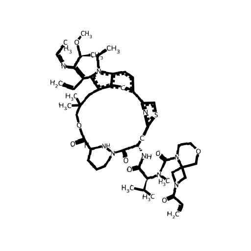 C=CC(=O)N1CC2(COCCN2C(=O)N(C)[C@H](C(=O)N[C@H]2Cc3nc(cs3)-c3ccc4c(c3)c(c(/C(C=C)=C(/N=C\C)[C@H](C)OC)n4CC)CC(C)(C)COC(=O)[C@@H]3CCCN(N3)C2=O)C(C)C)C1